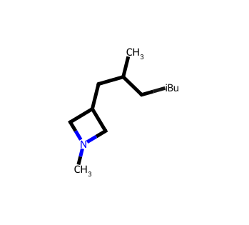 CCC(C)CC(C)CC1CN(C)C1